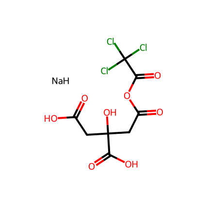 O=C(O)CC(O)(CC(=O)OC(=O)C(Cl)(Cl)Cl)C(=O)O.[NaH]